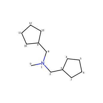 CN(CC1CCCC1)CC1CCCC1